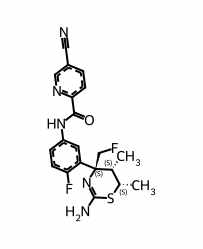 C[C@@H]1SC(N)=N[C@](CF)(c2cc(NC(=O)c3ccc(C#N)cn3)ccc2F)[C@@H]1C